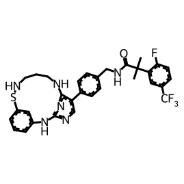 CC(C)(C(=O)NCc1ccc(-c2cnc3nc2NCCCNSc2cccc(c2)N3)cc1)c1cc(C(F)(F)F)ccc1F